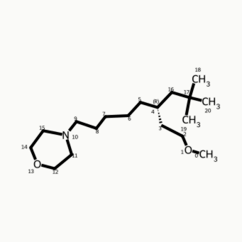 COCC[C@H](CCCCCN1CCOCC1)CC(C)(C)C